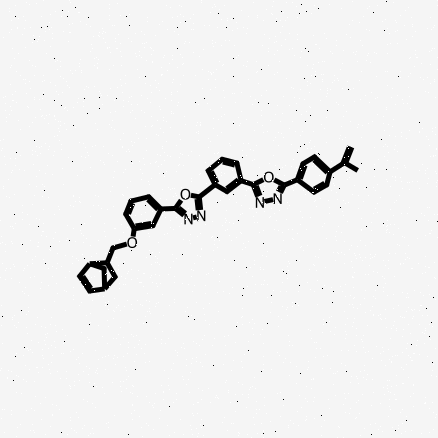 C=C(C)c1ccc(-c2nnc(-c3cccc(-c4nnc(-c5cccc(OCC6CC7C=CC6C7)c5)o4)c3)o2)cc1